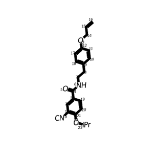 [C-]#[N+]c1cc(C(=O)NCCc2ccc(OCC=C)cc2)ccc1OC(C)C